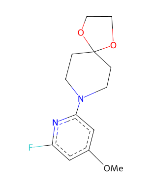 COc1cc(F)nc(N2CCC3(CC2)OCCO3)c1